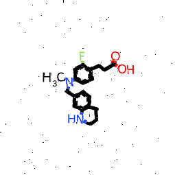 CN(Cc1ccc2c(c1)NCCC2)c1ccc(CCC(=O)O)c(F)c1